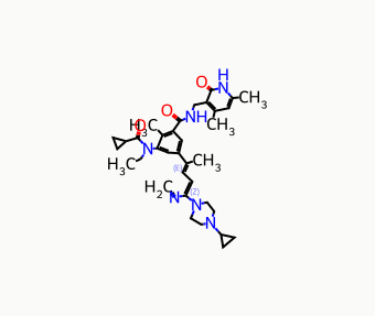 C=N/C(=C\C=C(/C)c1cc(C(=O)NCc2c(C)cc(C)[nH]c2=O)c(C)c(N(CC)C(=O)C2CC2)c1)N1CCN(C2CC2)CC1